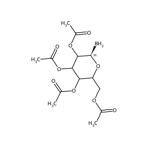 B[C@H]1OC(COC(C)=O)C(OC(C)=O)C(OC(C)=O)C1OC(C)=O